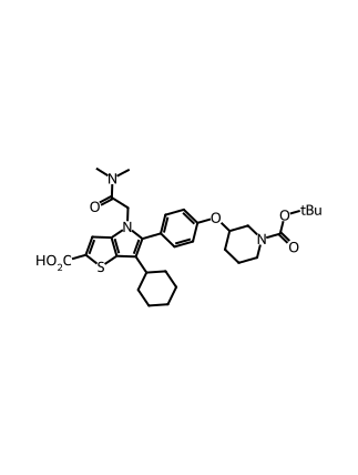 CN(C)C(=O)Cn1c(-c2ccc(OC3CCCN(C(=O)OC(C)(C)C)C3)cc2)c(C2CCCCC2)c2sc(C(=O)O)cc21